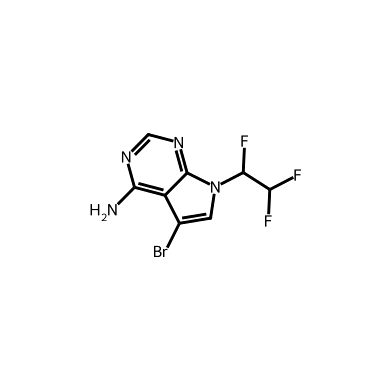 Nc1ncnc2c1c(Br)cn2C(F)C(F)F